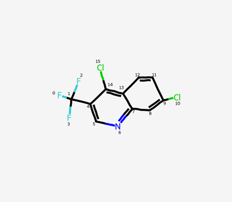 FC(F)(F)c1cnc2cc(Cl)ccc2c1Cl